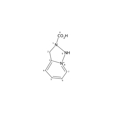 O=C(O)N1Cc2cccc[n+]2N1